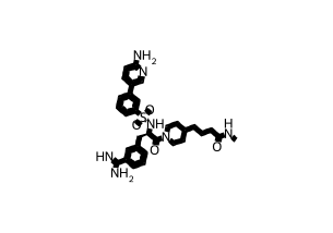 CNC(=O)CCCC1CCN(C(=O)[C@@H](Cc2cccc(C(=N)N)c2)NS(=O)(=O)c2cccc(-c3ccc(N)nc3)c2)CC1